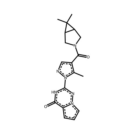 Cc1c(C(=O)N2CC3C(C2)C3(C)C)cnn1-c1nn2cccc2c(=O)[nH]1